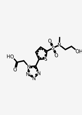 CN(CCO)S(=O)(=O)c1ccc(-c2nnnn2CC(=O)O)s1